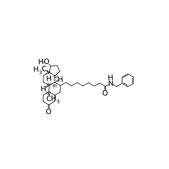 C[C@]12CCC(=O)CC1CC(CCCCCCCC(=O)NCc1ccccc1)[C@@H]1[C@H]2CC[C@]2(C)C(O)CC[C@@H]12